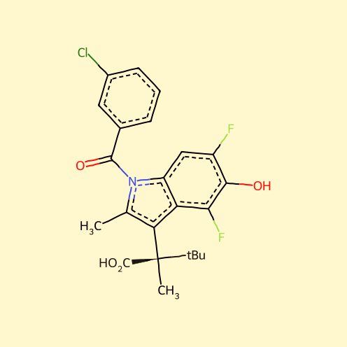 Cc1c([C@](C)(C(=O)O)C(C)(C)C)c2c(F)c(O)c(F)cc2n1C(=O)c1cccc(Cl)c1